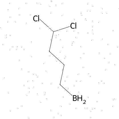 BCCCC(Cl)Cl